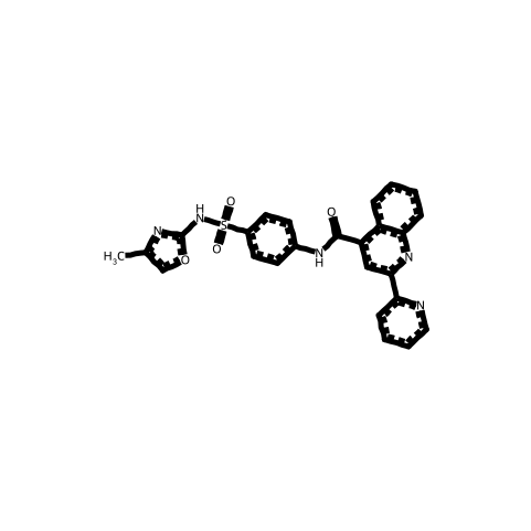 Cc1coc(NS(=O)(=O)c2ccc(NC(=O)c3cc(-c4ccccn4)nc4ccccc34)cc2)n1